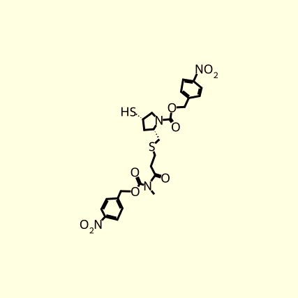 CN(C(=O)CCSC[C@@H]1C[C@H](S)CN1C(=O)OCc1ccc([N+](=O)[O-])cc1)C(=O)OCc1ccc([N+](=O)[O-])cc1